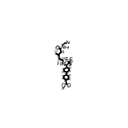 COC(=O)c1ccc(-c2ccc(C(NCCC(C)CC(=O)NCC#N)C(F)(F)F)cc2)cc1